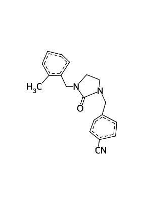 Cc1ccccc1CN1CCN(Cc2ccc(C#N)cc2)C1=O